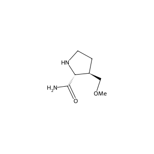 COC[C@@H]1CCN[C@H]1C(N)=O